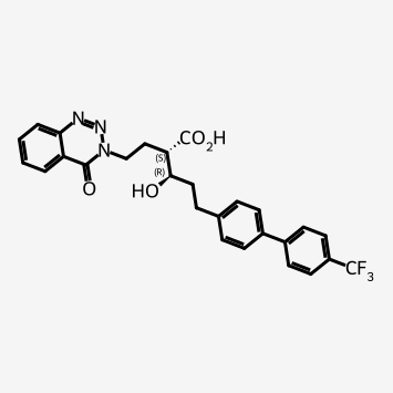 O=C(O)[C@@H](CCn1nnc2ccccc2c1=O)[C@H](O)CCc1ccc(-c2ccc(C(F)(F)F)cc2)cc1